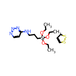 C1=CSSC1.CCO[Si](CCCNc1ccnnn1)(OCC)OCC